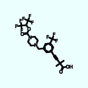 CC(C)(C#Cc1cc(CN2CCN(C(=O)OC(C(F)(F)F)C(F)(F)F)CC2)cc(C(F)(F)F)c1)C(=O)O